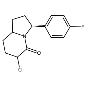 O=C1C(Cl)CCC2CC[C@@H](c3ccc(F)cc3)N12